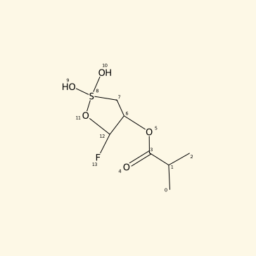 CC(C)C(=O)OC1CS(O)(O)OC1F